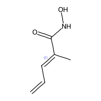 C=C/C=C(\C)C(=O)NO